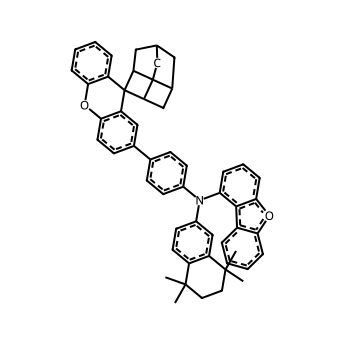 CC1(C)CCC(C)(C)c2cc(N(c3ccc(-c4ccc5c(c4)C4(c6ccccc6O5)C5CC6CC7CC4C75C6)cc3)c3cccc4oc5ccccc5c34)ccc21